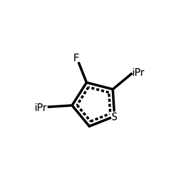 CC(C)c1csc(C(C)C)c1F